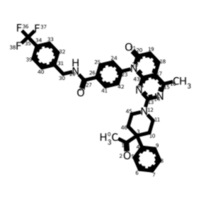 CC(=O)C1(c2ccccc2)CCN(c2nc(C)c3ccc(=O)n(-c4ccc(C(=O)NCc5ccc(C(F)(F)F)cc5)cc4)c3n2)CC1